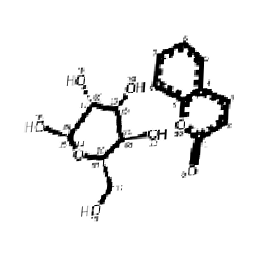 O=c1ccc2ccccc2o1.OC[C@H]1O[C@@H](O)[C@H](O)[C@@H](O)[C@H]1O